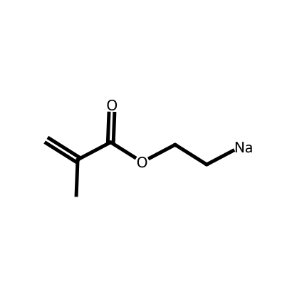 C=C(C)C(=O)OC[CH2][Na]